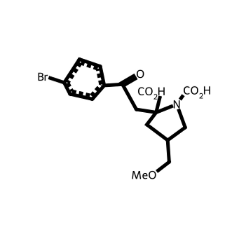 COCC1CN(C(=O)O)C(CC(=O)c2ccc(Br)cc2)(C(=O)O)C1